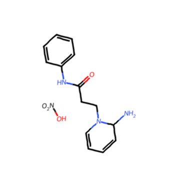 NC1C=CC=CN1CCC(=O)Nc1ccccc1.O=[N+]([O-])O